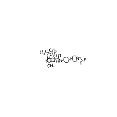 Cc1nn(CC(C)(C)C)c2sc(C(=O)NC3CCC(N4CCN(CC(F)F)CC4)CC3)cc12